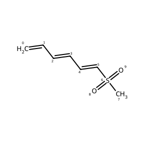 C=CC=CC=CS(C)(=O)=O